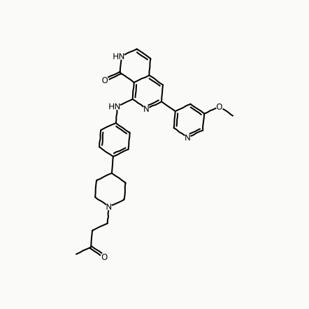 COc1cncc(-c2cc3cc[nH]c(=O)c3c(Nc3ccc(C4CCN(CCC(C)=O)CC4)cc3)n2)c1